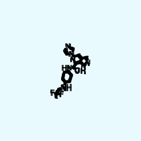 CC(F)(F)CNC1CCC(NC(=O)c2nc(-n3ccnc3)cc3cn[nH]c23)CC1